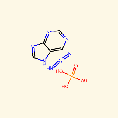 O=P(O)(O)O.[N-]=[N+]=N.c1ncc2[nH]cnc2n1